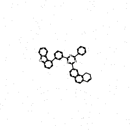 C1=Cc2ccc3ccc(-c4nc(-c5ccccc5)nc(-c5cccc(-c6cccc7oc8ccccc8c67)c5)n4)cc3c2CC1